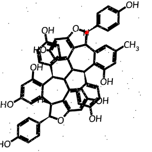 Cc1cc(O)c2c(c1)[C@@H]1c3c(cc(O)cc3C(C3c4cc(O)cc5c4[C@@H](c4cc(O)cc(O)c4[C@H]3c3ccc(O)cc3)[C@H](c3ccc(O)cc3)O5)[C@@H]2c2ccc(O)cc2)O[C@H]1c1ccc(O)cc1